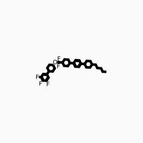 CCCCCC1CCC(c2ccc(C3CCC(C(F)(F)OC4CCC(c5cc(F)c(F)c(F)c5)CC4)CC3)cc2)CC1